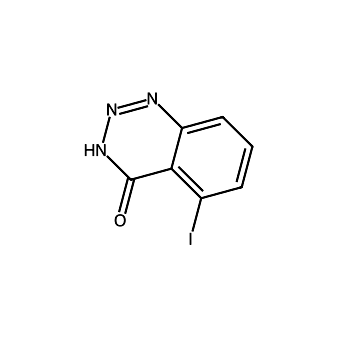 O=c1[nH]nnc2cccc(I)c12